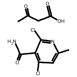 CC(=O)CC(=O)O.Cc1cc(Cl)c(C(N)=O)c(Cl)n1